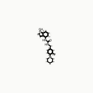 Cn1ncc2c(NC(=O)NCc3ccc(N4CCCCC4)c(F)c3)cccc21